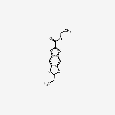 CCOC(=O)c1cc2cc3c(cc2s1)OC(CC)O3